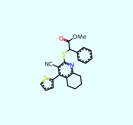 COC(=O)C(Sc1nc2c(c(-c3cccs3)c1C#N)CCCC2)c1ccccc1